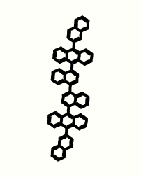 c1ccc2cc(-c3c4ccccc4c(-c4ccc(-c5ccc(-c6c7ccccc7c(-c7ccc8ccccc8c7)c7ccccc67)c6ccccc56)c5ccccc45)c4ccccc34)ccc2c1